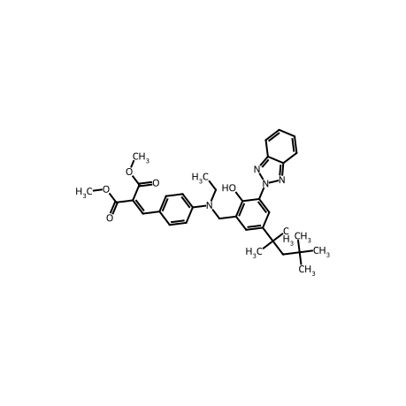 CCN(Cc1cc(C(C)(C)CC(C)(C)C)cc(-n2nc3ccccc3n2)c1O)c1ccc(C=C(C(=O)OC)C(=O)OC)cc1